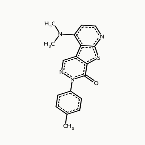 Cc1ccc(-n2ncc3c(sc4nccc(N(C)C)c43)c2=O)cc1